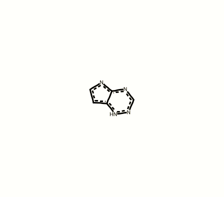 c1cc2[nH]ncnc-2n1